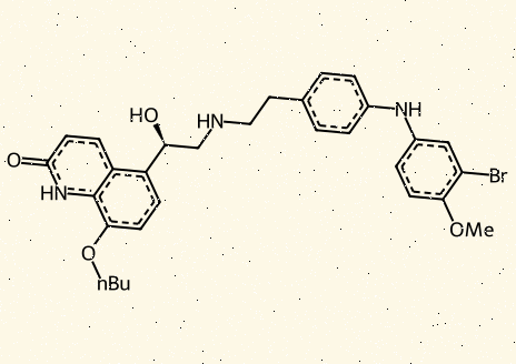 CCCCOc1ccc([C@@H](O)CNCCc2ccc(Nc3ccc(OC)c(Br)c3)cc2)c2ccc(=O)[nH]c12